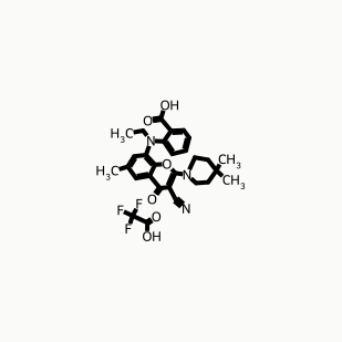 CCN(c1ccccc1C(=O)O)c1cc(C)cc2c(=O)c(C#N)c(N3CCC(C)(C)CC3)oc12.O=C(O)C(F)(F)F